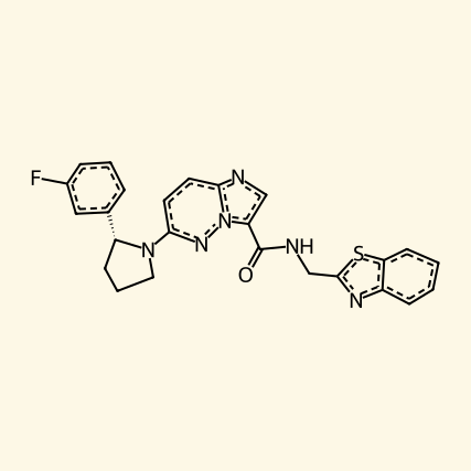 O=C(NCc1nc2ccccc2s1)c1cnc2ccc(N3CCC[C@@H]3c3cccc(F)c3)nn12